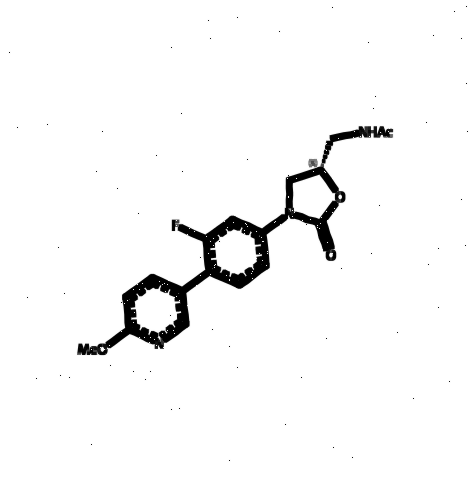 COc1ccc(-c2ccc(N3C[C@H](CNC(C)=O)OC3=O)cc2F)cn1